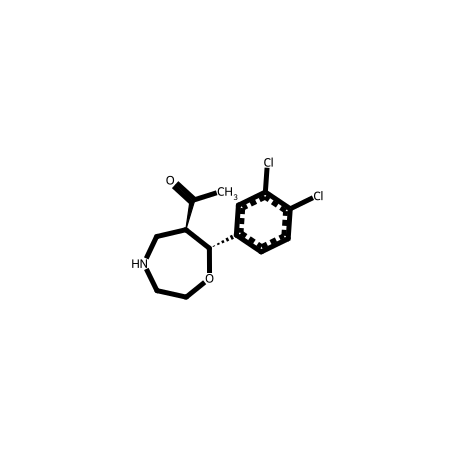 CC(=O)[C@@H]1CNCCO[C@H]1c1ccc(Cl)c(Cl)c1